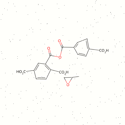 CC1CO1.O=C(O)c1ccc(C(=O)OC(=O)c2cc(C(=O)O)ccc2C(=O)O)cc1